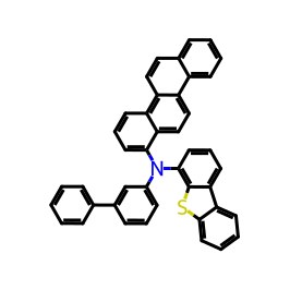 c1ccc(-c2cccc(N(c3cccc4c3ccc3c5ccccc5ccc43)c3cccc4c3sc3ccccc34)c2)cc1